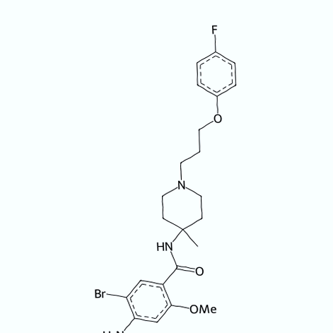 COc1cc(N)c(Br)cc1C(=O)NC1(C)CCN(CCCOc2ccc(F)cc2)CC1